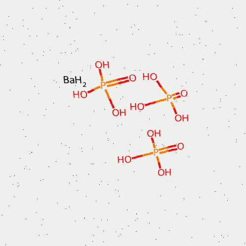 O=P(O)(O)O.O=P(O)(O)O.O=P(O)(O)O.[BaH2]